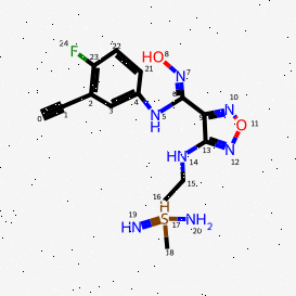 C#Cc1cc(N/C(=N\O)c2nonc2NCC[SH](C)(=N)N)ccc1F